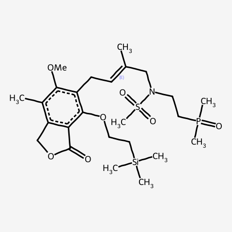 COc1c(C)c2c(c(OCC[Si](C)(C)C)c1C/C=C(\C)CN(CCP(C)(C)=O)S(C)(=O)=O)C(=O)OC2